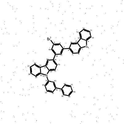 Brc1cc(-c2ccc3sc4ccccc4c3c2)cc(-c2ccc3c(c2)c2ccccc2n3-c2cccc(-c3ccccc3)c2)c1